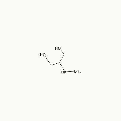 BBC(CO)CO